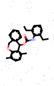 CCc1cccc(CC)c1NC(=O)OC1c2ccccc2COc2c(C)ccc(C)c21